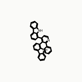 c1ccc(-c2nccc(-c3cccc4c3[nH]c3ccccc34)c2-c2cccc3c2[nH]c2ccccc23)cc1